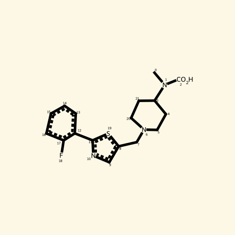 CN(C(=O)O)C1CCN(Cc2cnc(-c3ccccc3F)s2)CC1